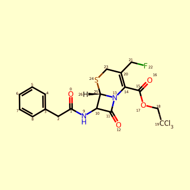 O=C(Cc1ccccc1)NC1C(=O)N2C(C(=O)OCC(Cl)(Cl)Cl)=C(CF)CS[C@@H]12